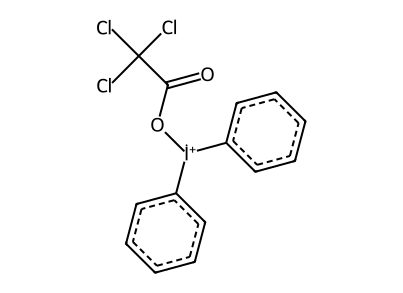 O=C(O[I+](c1ccccc1)c1ccccc1)C(Cl)(Cl)Cl